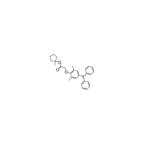 Cc1cc([S+](c2ccccc2)c2ccccc2)cc(C)c1OCC(=O)OC1(C)CCCC1